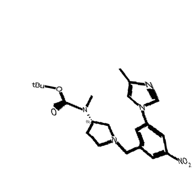 Cc1cn(-c2cc(CN3CC[C@H](N(C)C(=O)OC(C)(C)C)C3)cc([N+](=O)[O-])c2)cn1